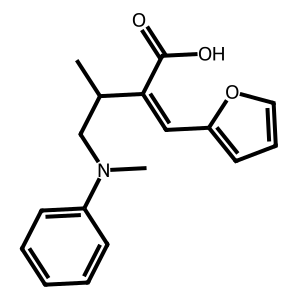 CC(CN(C)c1ccccc1)C(=Cc1ccco1)C(=O)O